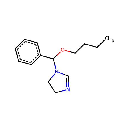 CCCCOC(c1ccccc1)N1C=NCC1